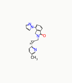 Cc1ccc([C@@H]2CC2CN2Cc3c(cccc3-n3cccn3)C2=O)nc1